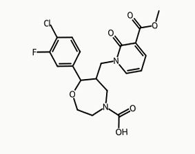 COC(=O)c1cccn(CC2CN(C(=O)O)CCOC2c2ccc(Cl)c(F)c2)c1=O